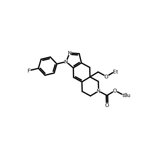 CCOCC12Cc3cnn(-c4ccc(F)cc4)c3C=C1CCN(C(=O)OC(C)(C)C)C2